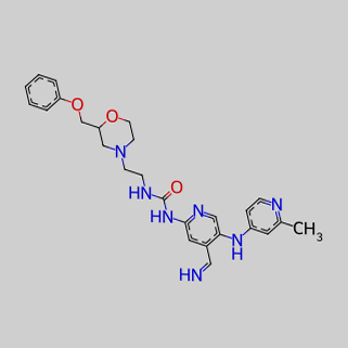 Cc1cc(Nc2cnc(NC(=O)NCCN3CCOC(COc4ccccc4)C3)cc2C=N)ccn1